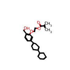 C=C(C)C(=O)OCCOc1cc(C2CCC(C3CCCCC3)CC2)ccc1CO